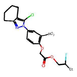 CCC(F)COC(=O)COc1ccc(-n2nc3c(c2Cl)CCCC3)cc1[N+](=O)[O-]